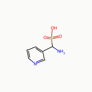 NC(c1[c]nccc1)S(=O)(=O)O